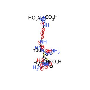 CCCC[C@H](NC(=O)CCC(=O)NCCCOCCOCCOCCCNC(=O)CN1CCN(CC(=O)O)CCN(CC(=O)O)CC1)C(=O)/N=C/C(CSCc1cccc(CSCC(NC(=O)[C@H](Cc2ccccc2)NC(=O)[C@H](CCC(N)=O)NC(=O)[C@@H](C)[C@@H](C)O)C(=O)O)c1)C(=O)N1CCC[C@H]1C(=O)N1CCC[C@H]1C(N)=O